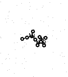 c1ccc(-c2ccc(-c3cc(-c4ccc(-n5c6ccccc6c6c7c8ccccc8oc7c7c(c8ccccc8n7-c7ccccc7)c65)cc4)nc(-c4ccccc4)n3)cc2)cc1